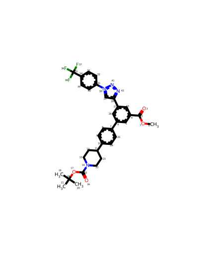 COC(=O)c1cc(-c2ccc(C3CCN(C(=O)OC(C)(C)C)CC3)cc2)cc(-c2cn(-c3ccc(C(F)(F)F)cc3)nn2)c1